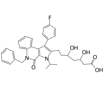 CC(C)n1c(CCC(O)CC(O)CC(=O)O)c(-c2ccc(F)cc2)c2c3ccccc3n(Cc3ccccc3)c(=O)c21